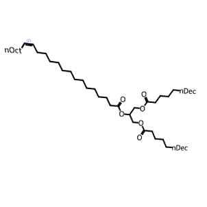 CCCCCCCC/C=C\CCCCCCCCCCCCCC(=O)OC(COC(=O)CCCCCCCCCCCCCC)COC(=O)CCCCCCCCCCCCCC